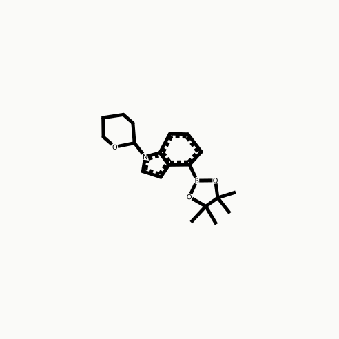 CC1(C)OB(c2cccc3c2ccn3C2CCCCO2)OC1(C)C